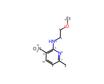 CCOCCNc1nc(C)ccc1[N+](=O)[O-]